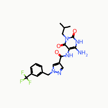 CC(C)Cn1c(=O)[nH]c(N)c(NC(=O)c2cnn(Cc3cccc(C(F)(F)F)c3)c2)c1=O